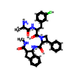 CNC(=O)C1Cc2ccccc2C1NC(=O)C1C(c2ccccc2)CN1C(=O)C(Cc1cccc(Cl)c1)NC(=O)C(C)N